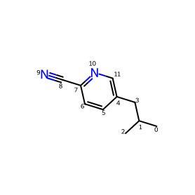 CC(C)Cc1ccc(C#N)nc1